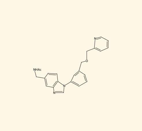 CC(=O)NCc1ccc2c(c1)ncn2-c1cccc(COCc2ccccn2)c1